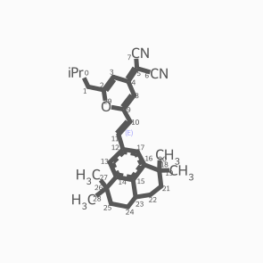 CC(C)CC1=CC(=C(C#N)C#N)C=C(/C=C/c2cc3c4c(c2)C(C)(C)CCC4CCC3(C)C)O1